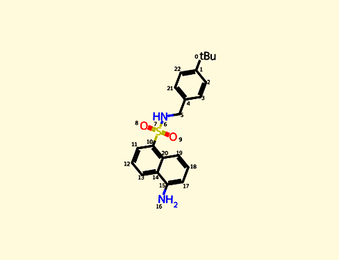 CC(C)(C)c1ccc(CNS(=O)(=O)c2cccc3c(N)cccc23)cc1